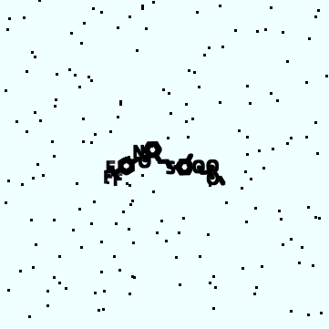 CCOC(=O)COc1ccc(SCCc2cccc3nc(-c4ccc(C(F)(F)F)cc4)oc23)cc1C